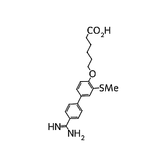 CSc1cc(-c2ccc(C(=N)N)cc2)ccc1OCCCCCC(=O)O